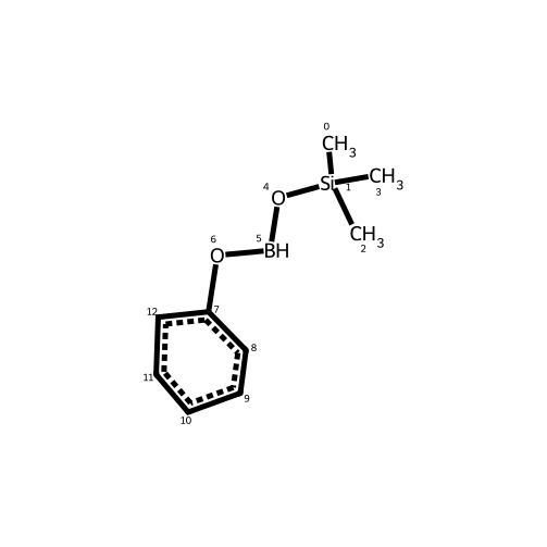 C[Si](C)(C)OBOc1ccccc1